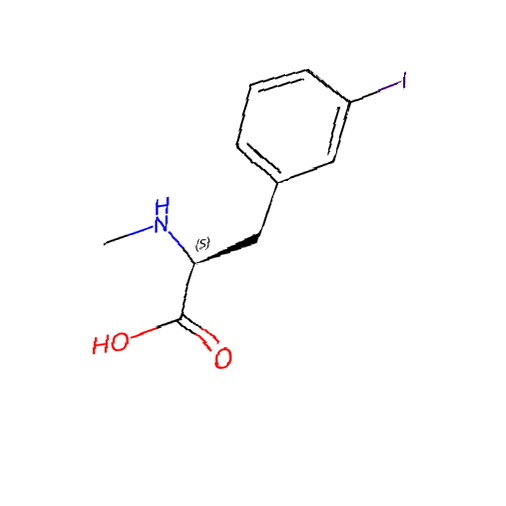 CN[C@@H](Cc1cccc(I)c1)C(=O)O